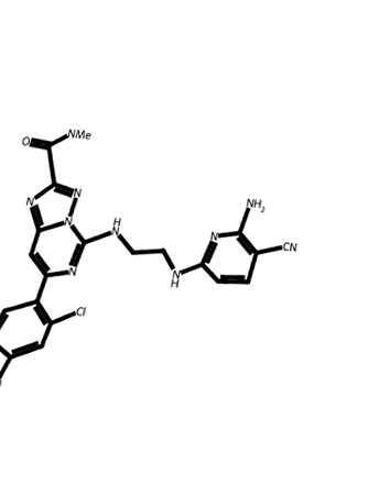 CNC(=O)c1nc2cc(-c3ccc(Cl)cc3Cl)nc(NCCNc3ccc(C#N)c(N)n3)n2n1